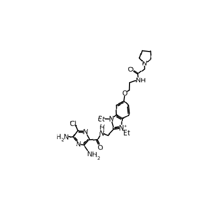 CCn1c(CNC(=O)c2nc(Cl)c(N)nc2N)[n+](CC)c2ccc(OCCNC(=O)CN3CCCC3)cc21